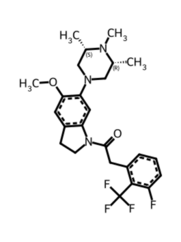 COc1cc2c(cc1N1C[C@@H](C)N(C)[C@@H](C)C1)N(C(=O)Cc1cccc(F)c1C(F)(F)F)CC2